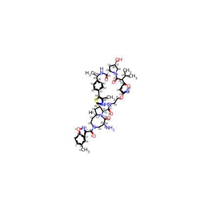 Cc1ccc2onc(C(=O)N3CC[C@H]4CC[C@@H](C(=O)NCCOc5cc(C(C(=O)N6C[C@H](O)C[C@H]6C(=O)N[C@H](C)c6ccc(-c7scnc7C)cc6)C(C)C)on5)N4C(=O)[C@@H](N)C3)c2c1